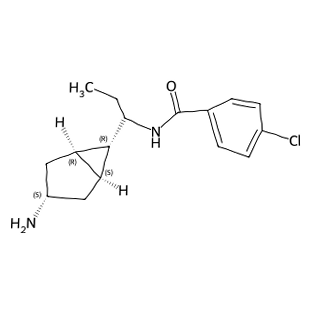 CCC(NC(=O)c1ccc(Cl)cc1)[C@H]1[C@@H]2C[C@@H](N)C[C@@H]21